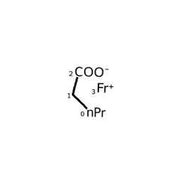 CCCCC(=O)[O-].[Fr+]